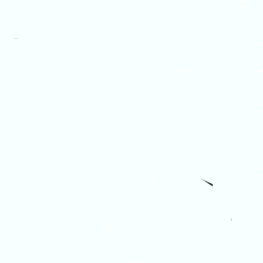 C/C=C/CCc1ccc([C@H]2CC[C@H](CCC)CC2)cc1